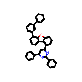 C1=CC(c2cccc(-c3cccc4c3oc3cccc(-c5cc(-c6ccccc6)nc(-c6ccccc6)n5)c34)c2)=CCC1